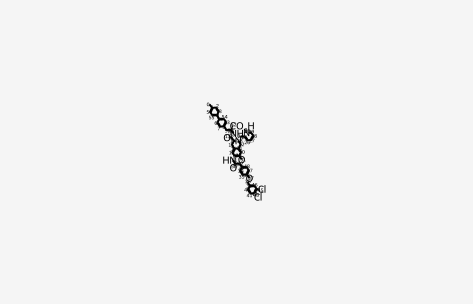 Cc1ccc(-c2ccc(C[C@H](NC(=O)C3Cc4cc5c(cc4CN3Cc3ccccn3)OC(c3ccc(OCc4ccc(Cl)c(Cl)c4)cc3)C(=O)N5)C(=O)O)cc2)cc1